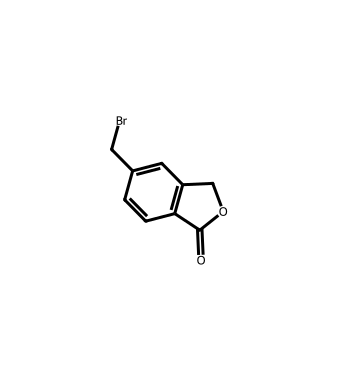 O=C1OCc2cc(CBr)ccc21